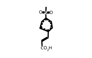 CS(=O)(=O)c1ccc(/C=C/C(=O)O)cc1